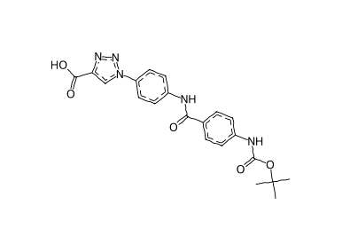 CC(C)(C)OC(=O)Nc1ccc(C(=O)Nc2ccc(-n3cc(C(=O)O)nn3)cc2)cc1